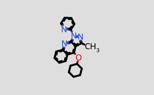 Cc1nn(-c2ccccn2)c2nc3ccccc3c(OC3CCCCC3)c12